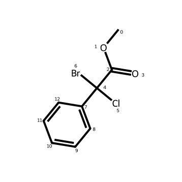 COC(=O)C(Cl)(Br)c1ccccc1